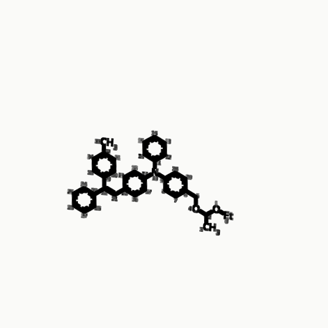 CCOC(C)OCc1ccc(N(c2ccccc2)c2ccc(C=C(c3ccccc3)c3ccc(C)cc3)cc2)cc1